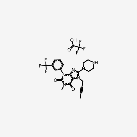 CC#CCn1c(N2CCNCC2)nc2c1c(=O)n(C)c(=O)n2-c1cccc(C(F)(F)F)c1.O=C(O)C(F)(F)F